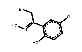 ON=C(CBr)c1cc(Cl)ccc1O